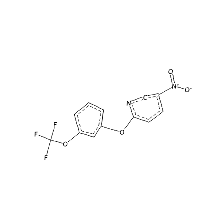 O=[N+]([O-])c1ccc(Oc2cccc(OC(F)(F)F)c2)nc1